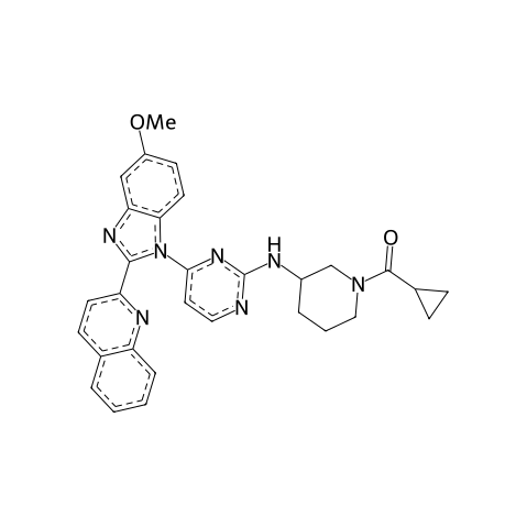 COc1ccc2c(c1)nc(-c1ccc3ccccc3n1)n2-c1ccnc(NC2CCCN(C(=O)C3CC3)C2)n1